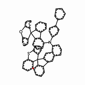 c1ccc(-c2ccc(N(c3cccc4c3-c3ccccc3C43c4ccccc4Oc4ccccc43)c3cccc4cc5c(cc34)C3(c4ccccc4Sc4ccccc43)c3ccccc3-5)cc2)cc1